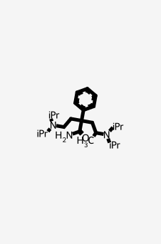 CC(C)N(CCC(CC(C)N(C(C)C)C(C)C)(C(N)=O)c1ccccc1)C(C)C